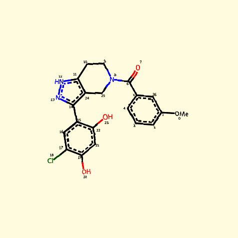 COc1cccc(C(=O)N2CCc3[nH]nc(-c4cc(Cl)c(O)cc4O)c3C2)c1